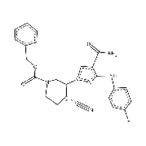 N#C[C@@H]1CCN(C(=O)OCc2ccccc2)CC1n1cc(C(N)=O)c(Nc2ccc(F)cc2)n1